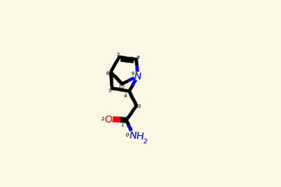 NC(=O)CC1CC2C=CN1C2